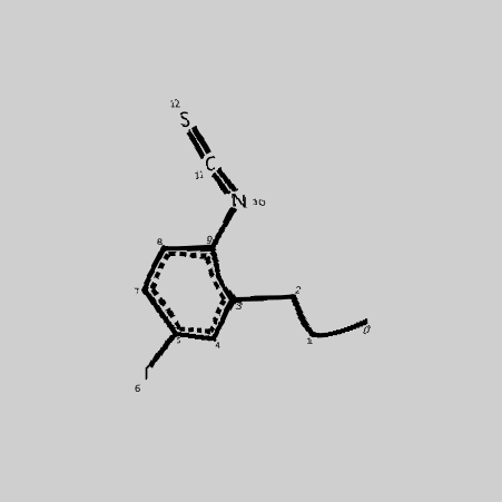 CCCc1cc(I)ccc1N=C=S